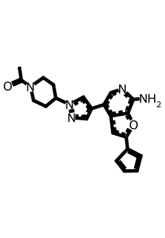 CC(=O)N1CCC(n2cc(-c3cnc(N)c4oc(C5=C=CC=C5)cc34)cn2)CC1